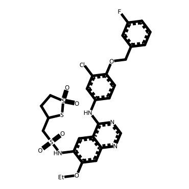 CCOc1cc2ncnc(Nc3ccc(OCc4cccc(F)c4)c(Cl)c3)c2cc1NS(=O)(=O)CC1CCS(=O)(=O)S1